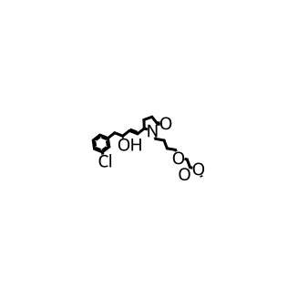 COC(=O)COCCCCN1C(=O)CCC1/C=C/[C@H](O)Cc1cccc(Cl)c1